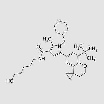 Cc1c(C(=O)NCCCCCO)cc(-c2cc(C(C)(C)C)c3c(c2)C2(CCO3)CC2)n1CC1CCCCC1